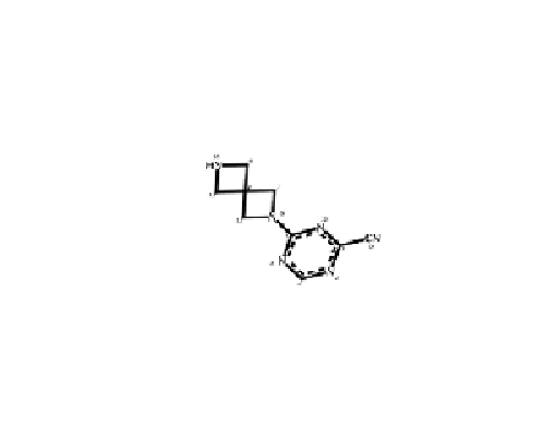 N#Cc1ncnc(N2CC3(CNC3)C2)n1